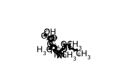 CCCCCN(C)C(=O)OCc1c(-c2ccc(O[C@@H]3COC[C@@H](C(=O)O)C3)c(C)n2)nnn1C